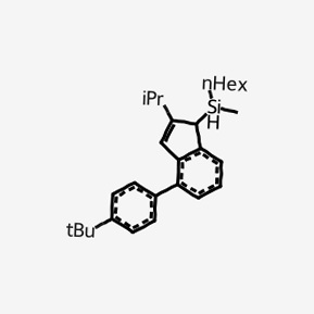 CCCCCC[SiH](C)C1C(C(C)C)=Cc2c(-c3ccc(C(C)(C)C)cc3)cccc21